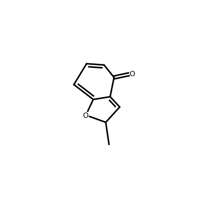 CC1C=C2C(=O)C=CC=C2O1